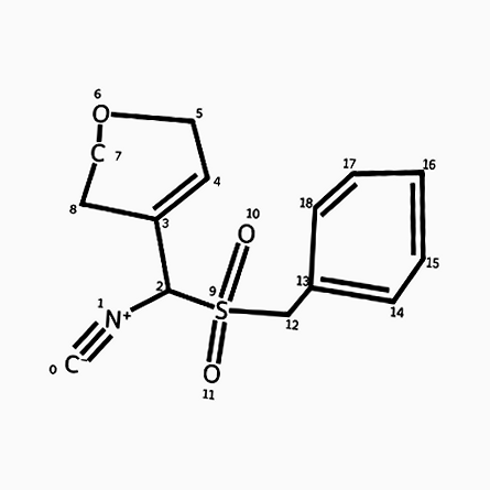 [C-]#[N+]C(C1=CCOCC1)S(=O)(=O)Cc1ccccc1